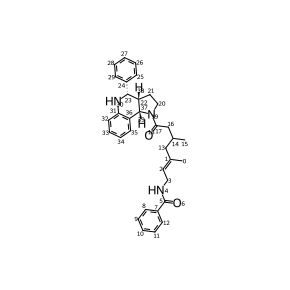 C/C(=C\CNC(=O)c1ccccc1)CC(C)CC(=O)N1CC[C@H]2[C@@H](c3ccccc3)Nc3ccccc3[C@H]21